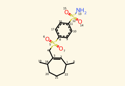 CC1C=C(CS(=O)(=O)c2ccc(S(N)(=O)=O)cc2)C(C)CCC1